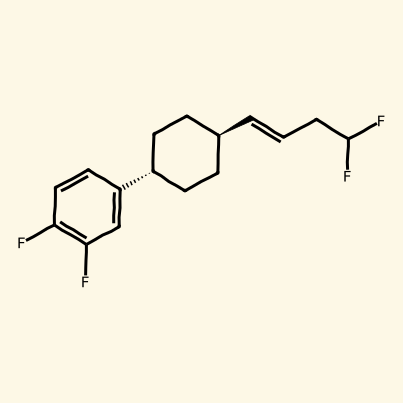 Fc1ccc([C@H]2CC[C@H](C=CCC(F)F)CC2)cc1F